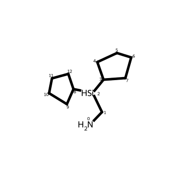 NC[SiH](C1CCCC1)C1CCCC1